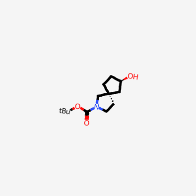 CC(C)(C)OC(=O)N1CC[C@@]2(CC[C@@H](O)C2)C1